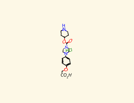 Cl.O=C(O)COc1ccc(N2CCN(C(=O)OC3CCNCC3)CC2)cc1